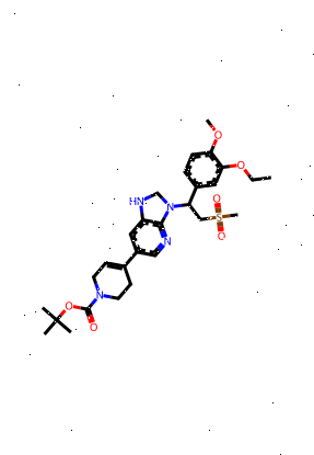 CCOc1cc(C(CS(C)(=O)=O)N2CNc3cc(C4=CCN(C(=O)OC(C)(C)C)CC4)cnc32)ccc1OC